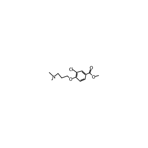 COC(=O)c1ccc(OCCCN(C)C)c(Cl)c1